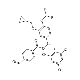 O=Cc1ccc(C(=O)O[C@@H](Cc2c(Cl)c[n+]([O-])cc2Cl)c2ccc(OC(F)F)c(OCC3CC3)c2)cc1